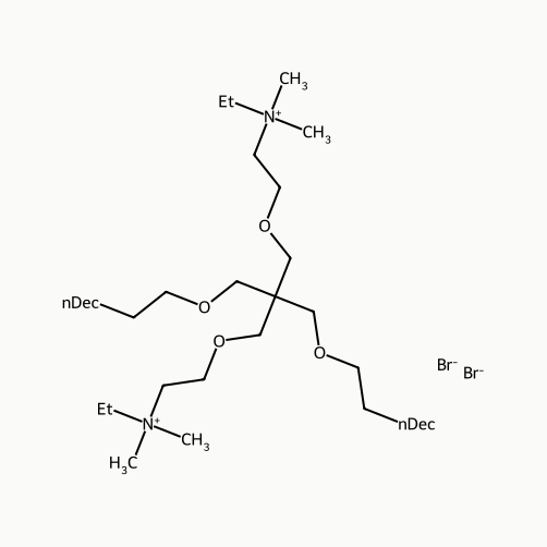 CCCCCCCCCCCCOCC(COCCCCCCCCCCCC)(COCC[N+](C)(C)CC)COCC[N+](C)(C)CC.[Br-].[Br-]